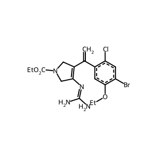 C=C(C1=C(N=C(N)N)CN(C(=O)OCC)C1)c1cc(OCC)c(Br)cc1Cl